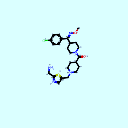 CON=C(c1ccc(Cl)cc1)C1CCN(C(=O)C2CCN(Cc3cnc(CN)s3)CC2)CC1